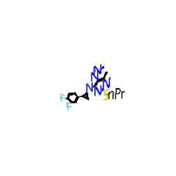 CCCSc1nc(C)c(/N=N\C)c(N(C)C2C[C@H]2c2ccc(F)c(F)c2)n1